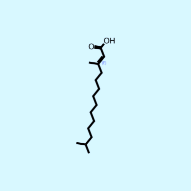 C/C(=C\C(=O)O)CCCCCCCCCC(C)C